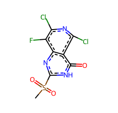 CS(=O)(=O)c1nc2c(F)c(Cl)nc(Cl)c2c(=O)[nH]1